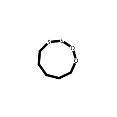 C1CCOOSSCC1